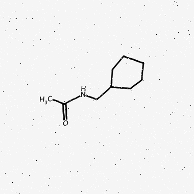 CC(=O)NCC1CCCCC1